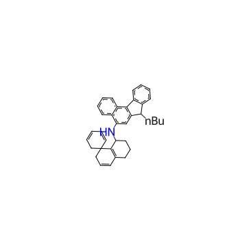 CCCCC1c2ccccc2-c2c1cc(NC1CCCC3=C1C1(C=CC=CC1)CC=C3)c1ccccc21